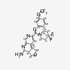 NC1N=c2cnc(C(=O)N3CCC(F)(F)C[C@H]3c3ccc(OC(F)(F)F)cc3)cc2=C2COCC21